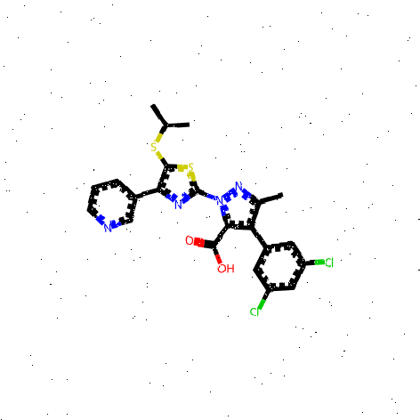 Cc1nn(-c2nc(-c3cccnc3)c(SC(C)C)s2)c(C(=O)O)c1-c1cc(Cl)cc(Cl)c1